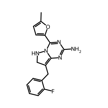 Cc1ccc(C2=NC(N)=NC3=C(Cc4ccccc4F)CNN23)o1